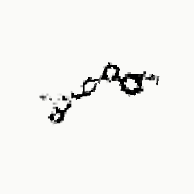 CCOc1cccc(-c2cccc(N3CCC(CCN(Cc4cscn4)C(=O)O)CC3)n2)c1